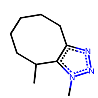 CC1CCCCCc2nnn(C)c21